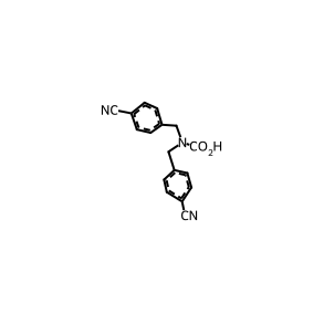 N#Cc1ccc(CN(Cc2ccc(C#N)cc2)C(=O)O)cc1